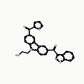 O=C(c1ccc2c(c1)c1cc(C(=O)c3noc4ccccc34)ccc1n2CCO)c1cccs1